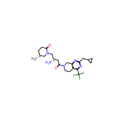 C[C@@H]1CCC(=O)N(C[C@@H](N)CC(=O)N2CCc3c(nc(CC4CC4)nc3C(F)(F)F)C2)C1